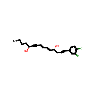 CC(=O)CCC[C@H](O)C#C/C=C/C=C/[C@H](O)CC#Cc1ccc(Cl)c(Cl)c1